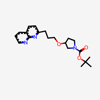 CC(C)(C)OC(=O)N1CCC(OCCCc2ccc3cccnc3n2)C1